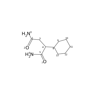 NC(=O)CC(C(N)=O)C1CCCCC1